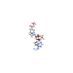 CC(C)(C)OC(=O)N1CCC2(CC1)CCN2C[C@H]1O[C@@H](c2ccc3c(N)ncnn23)[C@@H]2OC(C)(C)O[C@@H]21